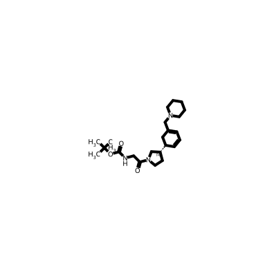 CC(C)(C)OC(=O)NCC(=O)N1CC[C@@H](C2C=CC=C(CN3CCCCC3)C2)C1